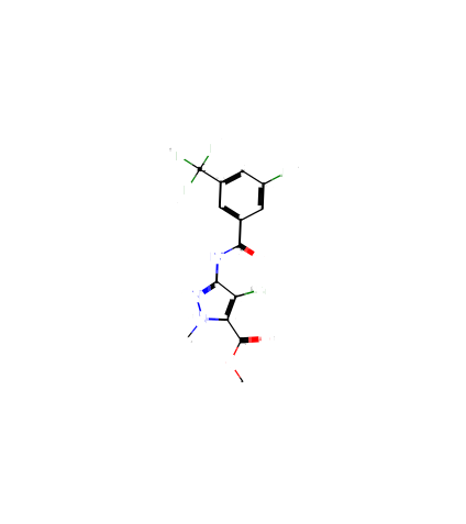 COC(=O)c1c(Br)c(NC(=O)c2cc(F)cc(C(F)(F)F)c2)nn1C